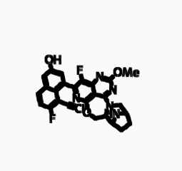 C#Cc1c(F)ccc2cc(O)cc(-c3nc4c5c(nc(OC)nc5c3F)N3CC5CCC(N5)C3CO4)c12